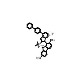 CCCC1=Cc2c(-c3ccc(-c4ccccc4)cc3)cccc2C1c1c(C(C)(C)C)ccc2c1[CH]([Zr+2][SiH](C)C)c1cc(C(C)(C)C)ccc1-2.[Cl-].[Cl-]